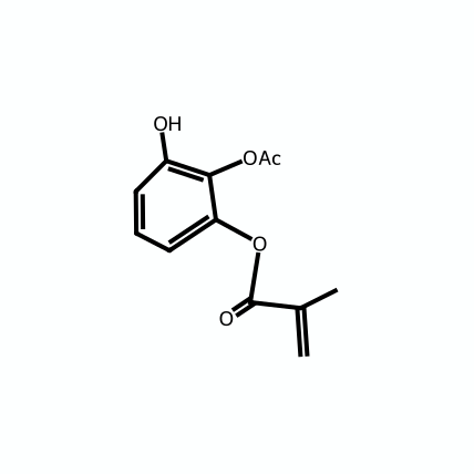 C=C(C)C(=O)Oc1cccc(O)c1OC(C)=O